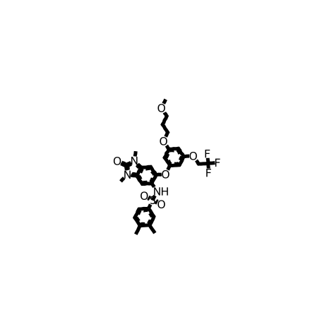 COCCCOc1cc(OCC(F)(F)F)cc(Oc2cc3c(cc2NS(=O)(=O)c2ccc(C)c(C)c2)n(C)c(=O)n3C)c1